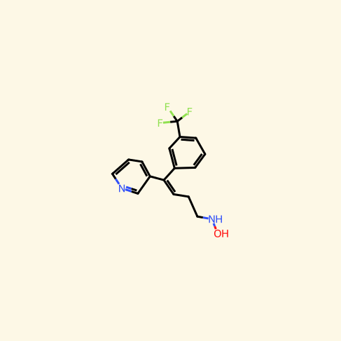 ONCCC=C(c1cccnc1)c1cccc(C(F)(F)F)c1